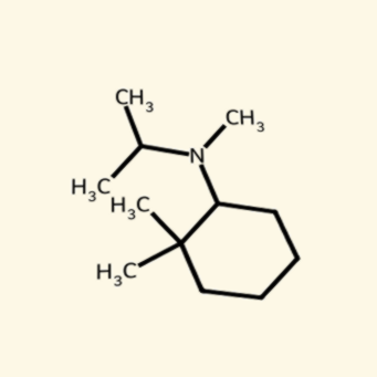 CC(C)N(C)C1CCCCC1(C)C